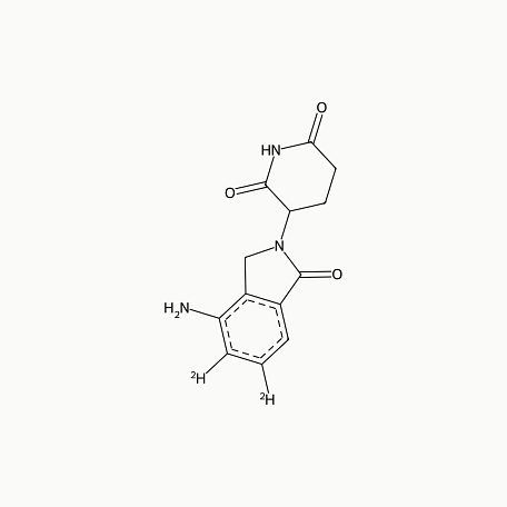 [2H]c1cc2c(c(N)c1[2H])CN(C1CCC(=O)NC1=O)C2=O